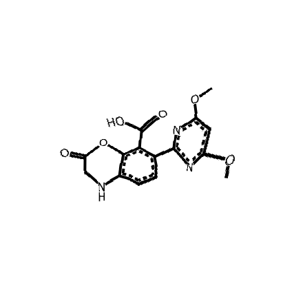 COc1cc(OC)nc(-c2ccc3c(c2C(=O)O)OC(=O)CN3)n1